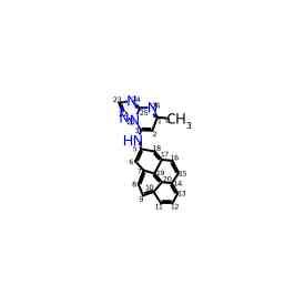 Cc1cc(Nc2cc3ccc4cccc5ccc(c2)c3c45)n2ncnc2n1